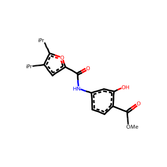 COC(=O)c1ccc(NC(=O)c2cc(C(C)C)c(C(C)C)o2)cc1O